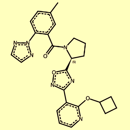 Cc1ccc(-n2nccn2)c(C(=O)N2CCC[C@H]2c2nc(-c3cccnc3OC3CCC3)no2)c1